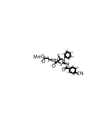 COC(=O)CCNC(=O)C1SC(=NC(=O)c2ccc(C#N)cc2)N(c2ccccc2)C1C